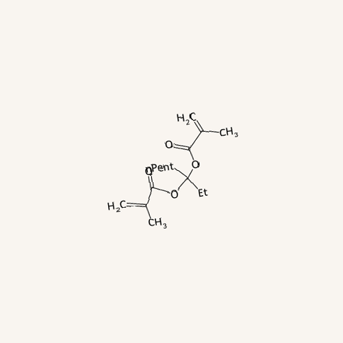 C=C(C)C(=O)OC(CC)(CCCCC)OC(=O)C(=C)C